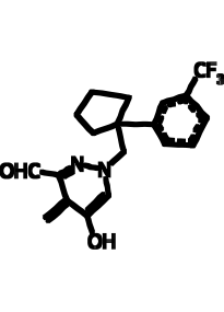 C=C1C(O)=CN(CC2(c3cccc(C(F)(F)F)c3)CCCC2)N=C1C=O